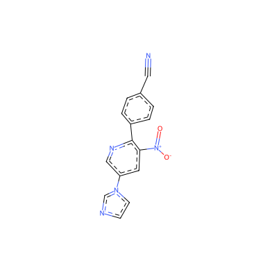 N#Cc1ccc(-c2ncc(-n3ccnc3)cc2[N+](=O)[O-])cc1